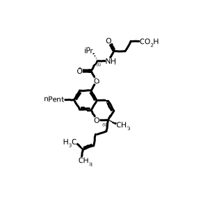 CCCCCc1cc(OC(=O)[C@@H](NC(=O)CCC(=O)O)C(C)C)c2c(c1)O[C@@](C)(CCC=C(C)C)C=C2